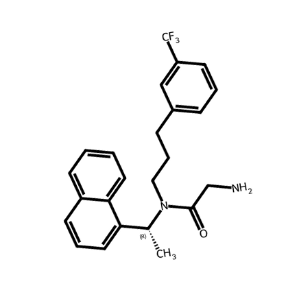 C[C@H](c1cccc2ccccc12)N(CCCc1cccc(C(F)(F)F)c1)C(=O)CN